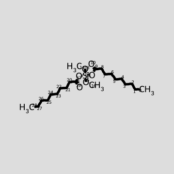 CCCCCCCCCC(=O)O[Si](OC)(OC)OC(=O)CCCCCCCCC